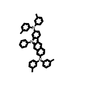 Cc1cccc(N(c2cccc(C)c2)c2ccc3cc4c5ccc(N(c6cccc(C)c6)c6cccc(C)c6)cc5n(-c5ccccc5)c4cc3c2)c1